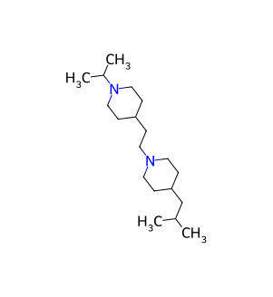 CC(C)CC1CCN(CCC2CCN(C(C)C)CC2)CC1